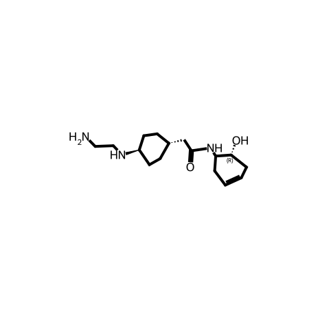 NCCN[C@H]1CC[C@H](CC(=O)NC2CC=CC[C@H]2O)CC1